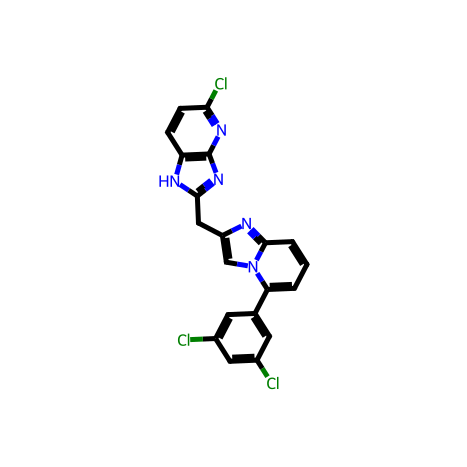 Clc1cc(Cl)cc(-c2cccc3nc(Cc4nc5nc(Cl)ccc5[nH]4)cn23)c1